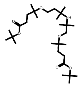 CC(C)(CCOC(C)(C)CCC(=O)OC(C)(C)C)NC(C)(C)COC(C)(C)CCC(=O)OC(C)(C)C